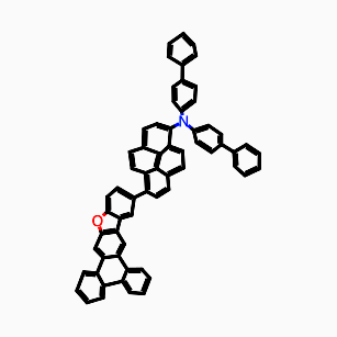 c1ccc(-c2ccc(N(c3ccc(-c4ccccc4)cc3)c3ccc4ccc5c(-c6ccc7oc8cc9c%10ccccc%10c%10ccccc%10c9cc8c7c6)ccc6ccc3c4c65)cc2)cc1